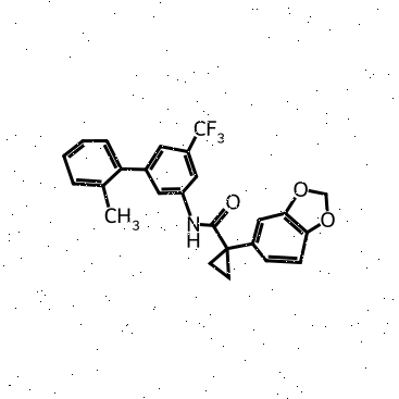 Cc1ccccc1-c1cc(NC(=O)C2(c3ccc4c(c3)OCO4)CC2)cc(C(F)(F)F)c1